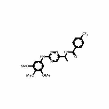 COc1cc(Nc2ncc(C(C)NC(=O)c3ccc(C(F)(F)F)cc3)nn2)cc(OC)c1OC